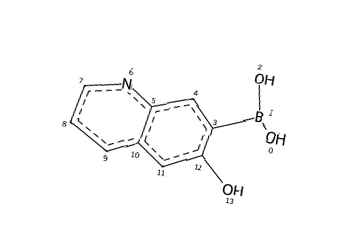 OB(O)c1cc2ncccc2cc1O